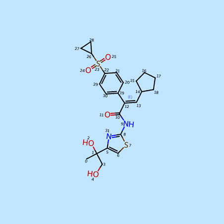 CC(O)(CO)c1csc(NC(=O)/C(=C/C2CCCC2)c2ccc(S(=O)(=O)C3CC3)cc2)n1